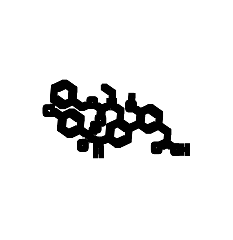 CCN(Cc1cc(NS(=O)(=O)c2ccc(Cl)cc2)ccc1-c1cc(CC(=O)O)ccc1OC)C(=O)OCc1ccccc1